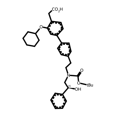 CC(C)(C)OC(=O)N(CCc1ccc(-c2ccc(CC(=O)O)c(OC3CCCCC3)c2)cc1)C[C@@H](O)c1ccccc1